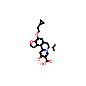 CC(C)[C@H]1Cc2cc(OCCC3CC3)c3c(c2-c2cc(=O)c(C(=O)O)cn21)CCO3